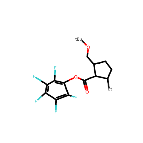 [CH2]CC1C[CH]C(COC(C)(C)C)C1C(=O)Oc1c(F)c(F)c(F)c(F)c1F